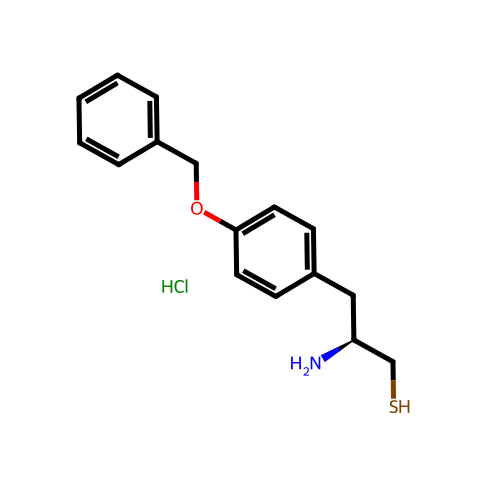 Cl.N[C@H](CS)Cc1ccc(OCc2ccccc2)cc1